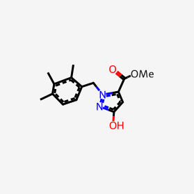 COC(=O)c1cc(O)nn1Cc1ccc(C)c(C)c1C